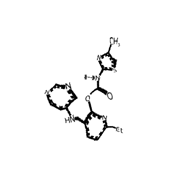 CCc1ccc(Nc2cncnc2)c(OC(=O)Nc2nc(C)cs2)n1